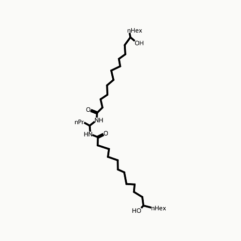 CCCCCCC(O)CCCCCCCCCCC(=O)NC(CCC)NC(=O)CCCCCCCCCCC(O)CCCCCC